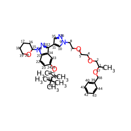 CC(COCCOCCn1cc(-c2nn(C3CCCCO3)c3ccc(O[Si](C)(C)C(C)(C)C)cc23)cn1)OCc1ccccc1